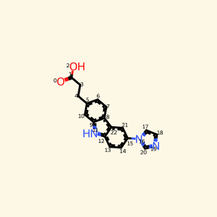 O=C(O)CCc1ccc2c(c1)[nH]c1ccc(-n3ccnc3)cc12